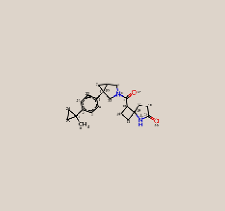 CC1(c2ccc([C@@]34CC3CN(C(=O)C3CCC35CCC(=O)N5)C4)cc2)CC1